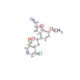 COc1ccc(C(O)Cc2c(Cl)cncc2Cl)c2cc(C#N)oc12